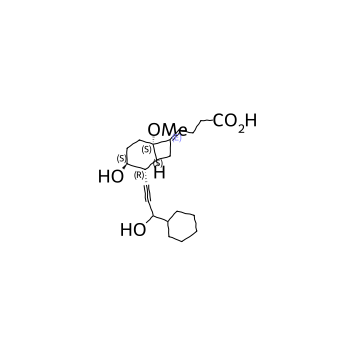 CO[C@@]12CC[C@H](O)[C@@H](C#CC(O)C3CCCCC3)[C@@H]1C/C2=C\CCC(=O)O